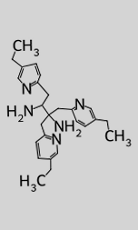 CCc1ccc(CC(N)C(N)(Cc2ccc(CC)cn2)Cc2ccc(CC)cn2)nc1